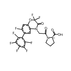 O=C(O)[C@H]1CCCN1C(=O)CN1C(=O)C(F)(F)Oc2cc(F)c(-c3c(F)c(F)c(F)c(F)c3F)cc21